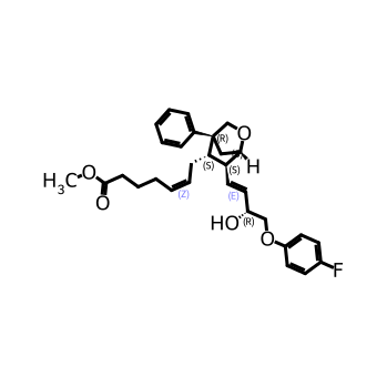 COC(=O)CCC/C=C\C[C@H]1[C@H](/C=C/[C@@H](O)COc2ccc(F)cc2)[C@@H]2C[C@@]1(c1ccccc1)CO2